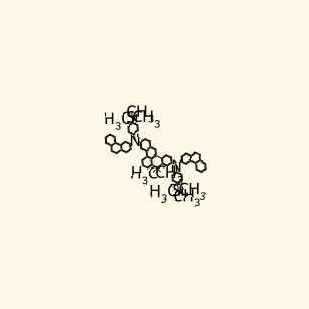 CC1(C)c2cc(N(c3ccc([Si](C)(C)C)cc3)c3ccc4ccc5ccccc5c4c3)ccc2-c2cc3ccc(N(c4ccc([Si](C)(C)C)cc4)c4ccc5ccc6ccccc6c5c4)cc3c3cccc1c23